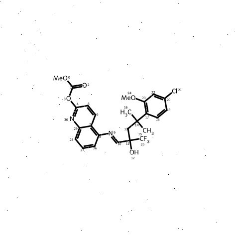 COC(=O)Oc1ccc2c(N=CC(O)(CC(C)(C)c3ccc(Cl)cc3OC)C(F)(F)F)cccc2n1